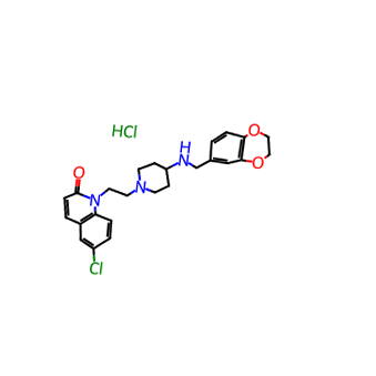 Cl.O=c1ccc2cc(Cl)ccc2n1CCN1CCC(NCc2ccc3c(c2)OCCO3)CC1